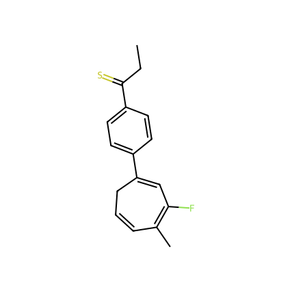 CCC(=S)c1ccc(C2=CC(F)=C(C)C=CC2)cc1